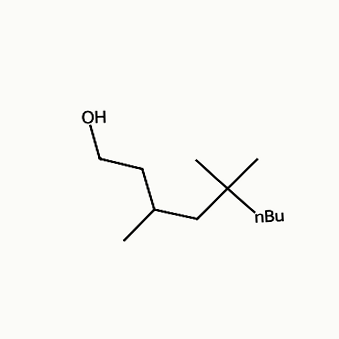 CCCCC(C)(C)CC(C)CCO